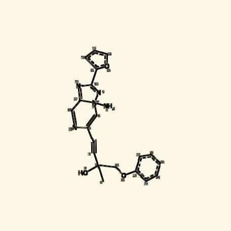 CC(O)(C#CC1=C[N+]2(N)N=C(c3ccco3)N=C2C=N1)COc1ccccc1